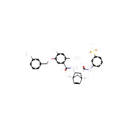 COc1cc(F)c(OCc2cccc(C(C)C)c2)cc1C(=O)N[C@H]1[C@@H](C(=O)Nc2cccc(S(=O)(=O)C(F)(F)F)c2)[C@@H]2C=C[C@H]1C2